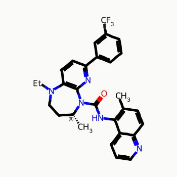 CCN1CC[C@@H](C)N(C(=O)Nc2c(C)ccc3ncccc23)c2nc(-c3cccc(C(F)(F)F)c3)ccc21